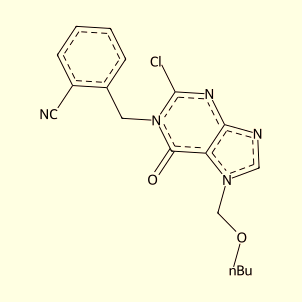 CCCCOCn1cnc2nc(Cl)n(Cc3ccccc3C#N)c(=O)c21